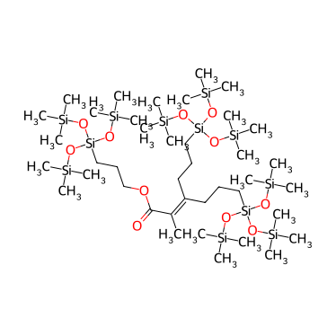 CC(C(=O)OCCC[Si](O[Si](C)(C)C)(O[Si](C)(C)C)O[Si](C)(C)C)=C(CCC[Si](O[Si](C)(C)C)(O[Si](C)(C)C)O[Si](C)(C)C)CCC[Si](O[Si](C)(C)C)(O[Si](C)(C)C)O[Si](C)(C)C